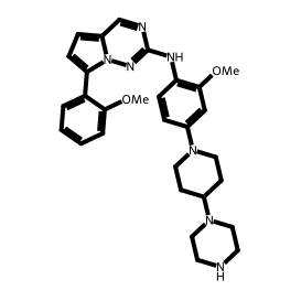 COc1cc(N2CCC(N3CCNCC3)CC2)ccc1Nc1ncc2ccc(-c3ccccc3OC)n2n1